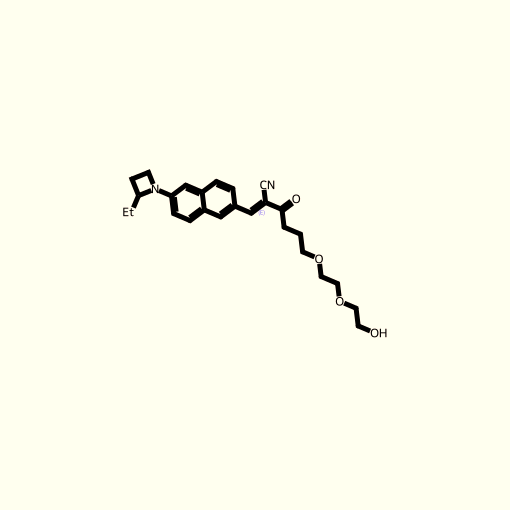 CCC1CCN1c1ccc2cc(/C=C(\C#N)C(=O)CCCOCCOCCO)ccc2c1